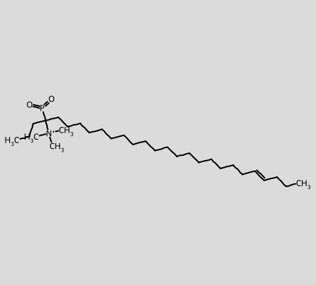 CCCC=CCCCCCCCCCCCCCCCCCCC(CCC)(P(=O)=O)[N+](C)(C)C